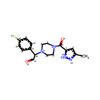 Cc1cc(C(=O)N2CCN(C(C=O)c3ccc(F)cc3)CC2)[nH]n1